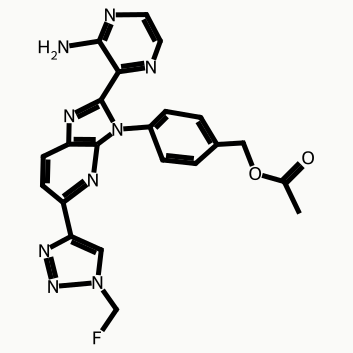 CC(=O)OCc1ccc(-n2c(-c3nccnc3N)nc3ccc(-c4cn(CF)nn4)nc32)cc1